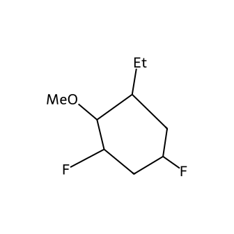 CCC1CC(F)CC(F)C1OC